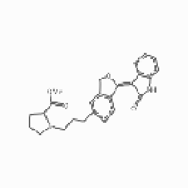 COC(=O)C1CCCN1CCCc1ccc2c(c1)COC2=C1C(=O)Nc2ccccc21